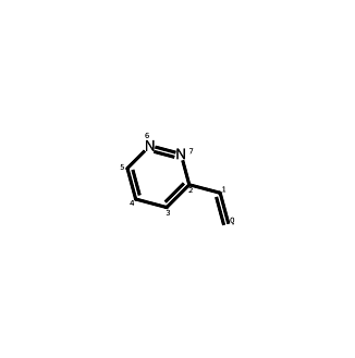 [CH]=Cc1cccnn1